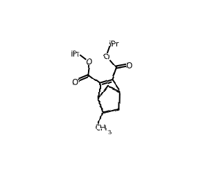 CC(C)OC(=O)C1=C(C(=O)OC(C)C)C2CC1CC2C